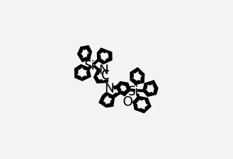 c1ccc([Si](c2ccccc2)(c2ccccc2)c2ccc(-n3c4ccccc4c4c5c(ccc43)[Si](c3ccccc3)(c3ccccc3)c3ccccc3O5)cn2)cc1